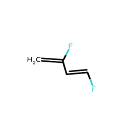 C=C(F)C=CF